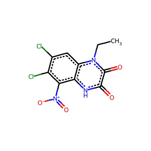 CCn1c(=O)c(=O)[nH]c2c([N+](=O)[O-])c(Cl)c(Cl)cc21